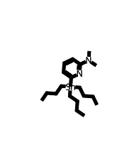 CCC[CH2][Sn]([CH2]CCC)([CH2]CCC)[c]1cccc(N(C)C)n1